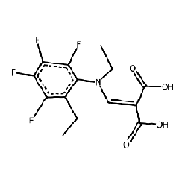 CCc1c(F)c(F)c(F)c(F)c1N(C=C(C(=O)O)C(=O)O)CC